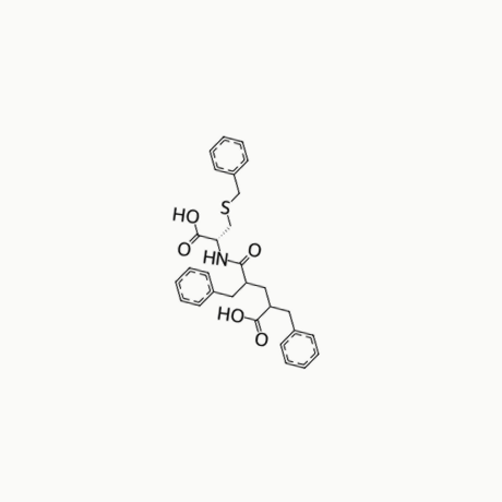 O=C(O)C(Cc1ccccc1)CC(Cc1ccccc1)C(=O)N[C@@H](CSCc1ccccc1)C(=O)O